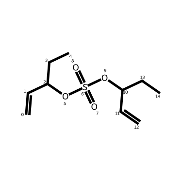 C=CC(CC)OS(=O)(=O)OC(C=C)CC